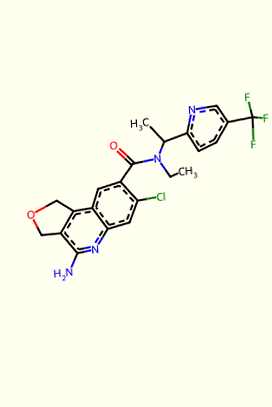 CCN(C(=O)c1cc2c3c(c(N)nc2cc1Cl)COC3)C(C)c1ccc(C(F)(F)F)cn1